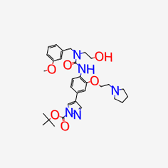 COc1cccc(CN(CCO)C(=O)Nc2ccc(-c3cnn(C(=O)OC(C)(C)C)c3)cc2OCCN2CCCC2)c1